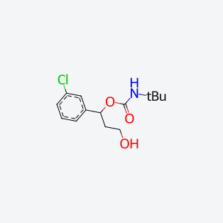 CC(C)(C)NC(=O)OC(CCO)c1cccc(Cl)c1